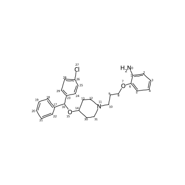 Nc1ccccc1OCCCN1CCC(OC(c2ccccc2)c2ccc(Cl)cc2)CC1